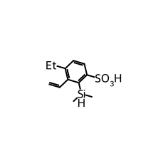 C=Cc1c(CC)ccc(S(=O)(=O)O)c1[SiH](C)C